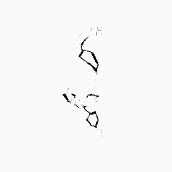 CC(=O)c1ccc(OC[C@@H]2CO[C@@](Cn3ccnc3)(c3ccc(Cl)cc3)O2)cc1